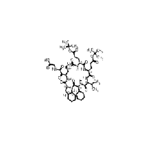 CCCC(NC(=O)[C@@H]1C[C@@H]2CCCC[C@@H]2N1C(=O)[C@@H](NC(=O)[C@@H](NC(=O)[C@H](CCC(=O)OC(C)(C)C)NC(=O)[C@H](CCC(=O)OC(C)(C)C)NC(C)=O)C(C)C)C1CCCCC1)C(=O)C(=O)NCC(=O)O